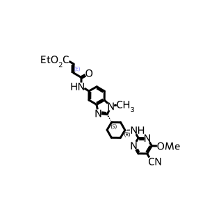 CCOC(=O)/C=C/C(=O)Nc1ccc2c(c1)nc([C@H]1CCC[C@@H](Nc3ncc(C#N)c(OC)n3)C1)n2C